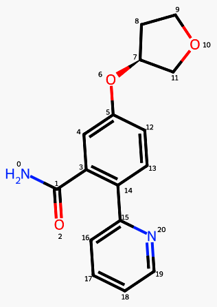 NC(=O)c1cc(O[C@H]2CCOC2)ccc1-c1ccccn1